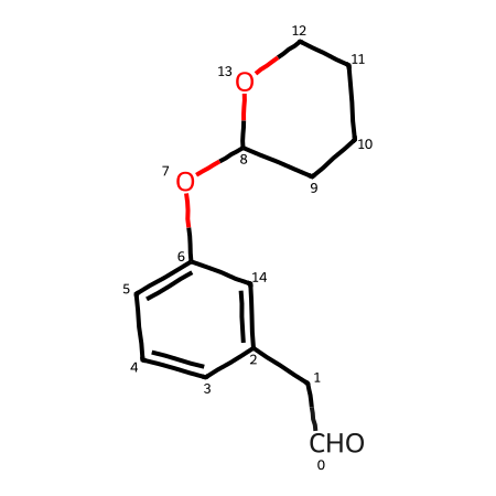 O=CCc1cccc(OC2CCCCO2)c1